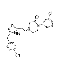 N#Cc1ccc(Cc2cnc(CCN3CCN(c4cccc(Cl)c4)C(=O)C3)[nH]2)cc1